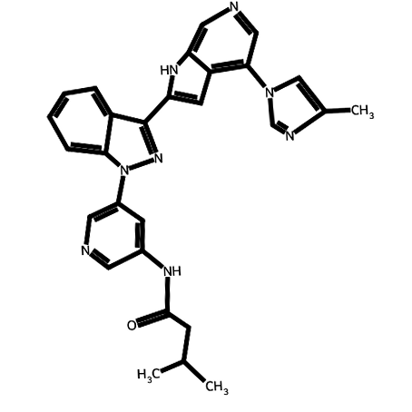 Cc1cn(-c2cncc3[nH]c(-c4nn(-c5cncc(NC(=O)CC(C)C)c5)c5ccccc45)cc23)cn1